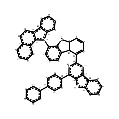 C1=CC2Oc3c(cccc3-n3c4ccccc4c4ccc5ccccc5c43)C2C(c2nc(-c3ccc(-c4ccccc4)cc3)c3sc4ccccc4c3n2)=C1